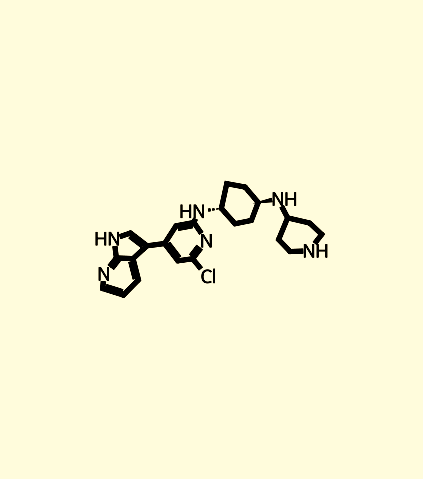 Clc1cc(-c2c[nH]c3ncccc23)cc(N[C@H]2CC[C@H](NC3CCNCC3)CC2)n1